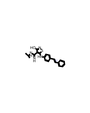 CC(C)NC(=N)c1c(O)nsc1Nc1ccc(/C=C/c2ccccc2)cc1